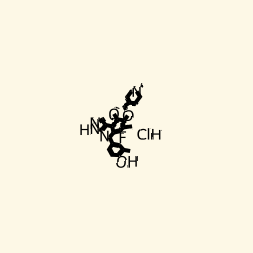 COc1c(OCC2CCN(C)CC2)c(C)c(F)c2c(-c3ccc(O)c(C)c3)nc3[nH]ncc3c12.Cl